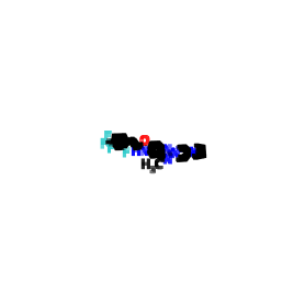 Cc1nc(N2CCC(N3CCCC3)CC2)nc2ccc(NC(=O)C=Cc3ccc(C(F)(F)F)cc3F)cc12